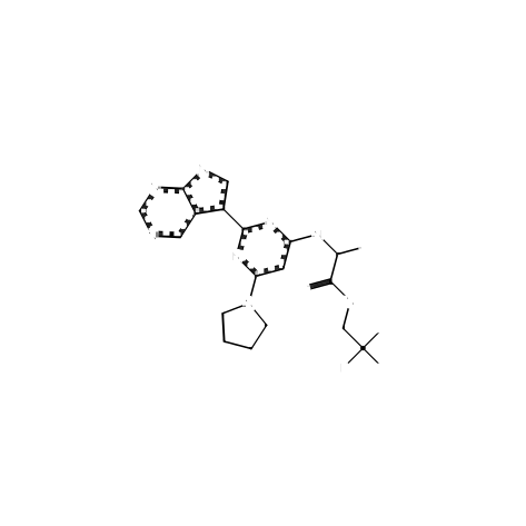 CC(Nc1cc(N2CCCC2)nc(-c2c[nH]c3ncncc23)n1)C(=O)NCC(F)(F)F